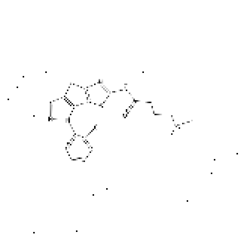 CN(C)CCCC(=O)Nc1nc2c(s1)-c1c(cnn1-c1ccccc1Cl)C2